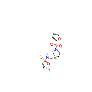 C=CS(=O)(=O)NC[C@H]1CCN(S(=O)(=O)c2ccco2)C1